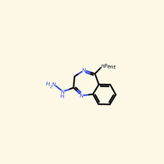 CCCCCC1=NCC(NN)=Nc2ccccc21